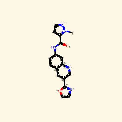 Cn1nccc1C(=O)Nc1ccc2cc(-c3ncco3)cnc2c1